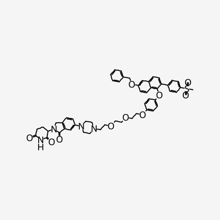 CS(=O)(=O)c1ccc(-c2ccc3cc(OCc4ccccc4)ccc3c2Oc2ccc(OCCOCCOCCN3CCN(c4ccc5c(c4)C(=O)N(C4CCC(=O)NC4=O)C5)CC3)cc2)cc1